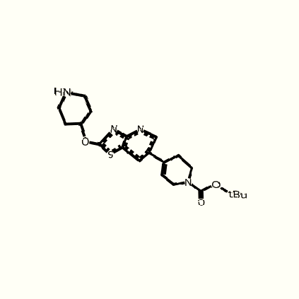 CC(C)(C)OC(=O)N1CC=C(c2cnc3nc(OC4CCNCC4)sc3c2)CC1